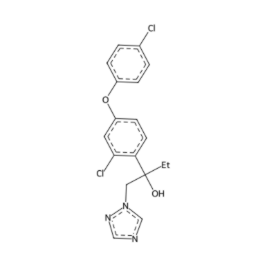 CCC(O)(Cn1cncn1)c1ccc(Oc2ccc(Cl)cc2)cc1Cl